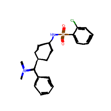 CN(C)C(c1ccccc1)C1CCC(NS(=O)(=O)c2ccccc2Cl)CC1